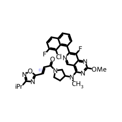 COc1nc(N(C)C2CCN(C(=O)/C=C/c3nc(C(C)C)no3)C2)c2cnc(-c3cccc4ccc(F)c(Cl)c34)c(F)c2n1